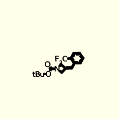 CC(C)(C)OC(=O)N1CC(=Cc2ccccc2C(F)(F)F)C1